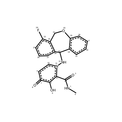 CNC(=O)c1c(O)c(=O)ccn1NC1c2ccccc2OCc2c(F)cccc21